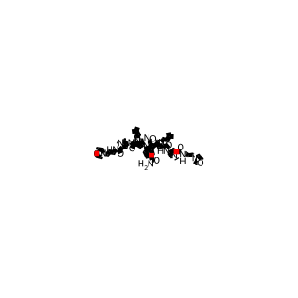 CC(C)CCn1cc(-c2c(C(N)=O)n(-c3cc(C(=O)Nc4cc(C(=O)NCCCN5CCOCC5)n(C)c4)n(CCC(C)C)c3)c3ccc(C(N)=O)cc23)cc1C(=O)Nc1cc(C(=O)NCCCN2CCOCC2)n(C)c1